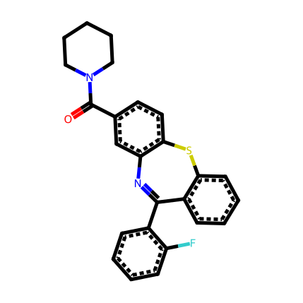 O=C(c1ccc2c(c1)N=C(c1ccccc1F)c1ccccc1S2)N1CCCCC1